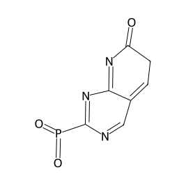 O=C1CC=c2cnc(P(=O)=O)nc2=N1